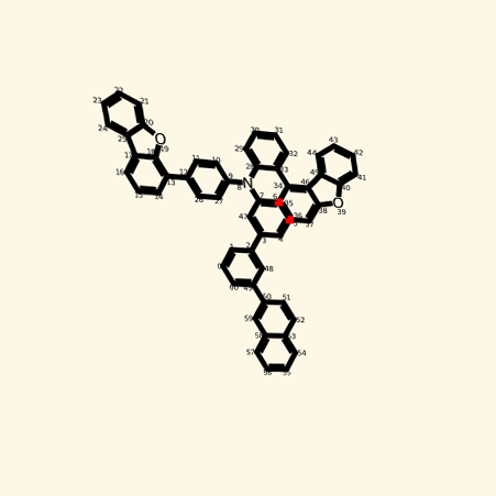 c1cc(-c2cccc(N(c3ccc(-c4cccc5c4oc4ccccc45)cc3)c3ccccc3-c3cccc4oc5ccccc5c34)c2)cc(-c2ccc3ccccc3c2)c1